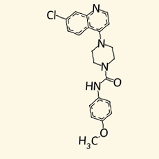 COc1ccc(NC(=O)N2CCN(c3ccnc4cc(Cl)ccc34)CC2)cc1